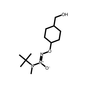 CN(/[N+]([O-])=N/OC1CCC(CO)CC1)C(C)(C)C